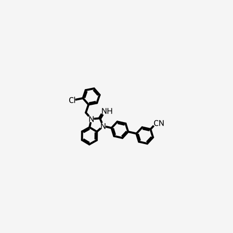 N#Cc1cccc(-c2ccc(-n3c(=N)n(Cc4ccccc4Cl)c4ccccc43)cc2)c1